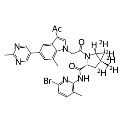 [2H]C([2H])([2H])[C@@]12C[C@@H](C(=O)Nc3nc(Br)ccc3C)N(C(=O)Cn3cc(C(C)=O)c4cc(-c5cnc(C)nc5)cc(C)c43)[C@@H]1C2([2H])[2H]